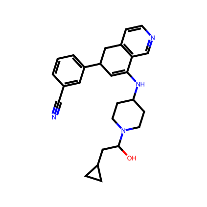 N#Cc1cccc(C2C=C(NC3CCN(C(O)CC4CC4)CC3)c3cnccc3C2)c1